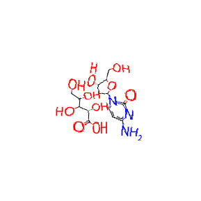 Nc1ccn([C@H]2C[C@H](O)[C@@H](CO)O2)c(=O)n1.O=C(O)C(O)C(O)C(O)CO